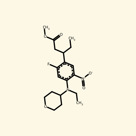 CCC(CC(=O)OC)c1cc([N+](=O)[O-])c(N(CC)C2CCOCC2)cc1F